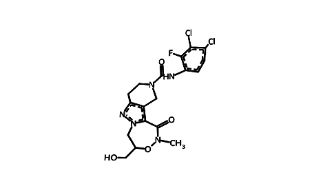 CN1OC(CO)Cn2nc3c(c2C1=O)CN(C(=O)Nc1ccc(Cl)c(Cl)c1F)CC3